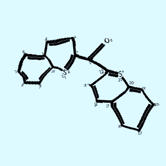 O=C(c1ccc2ccccc2[s+]1)c1ccc2ccccc2[s+]1